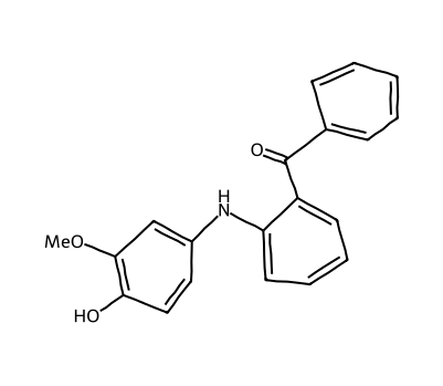 COc1cc(Nc2ccccc2C(=O)c2ccccc2)ccc1O